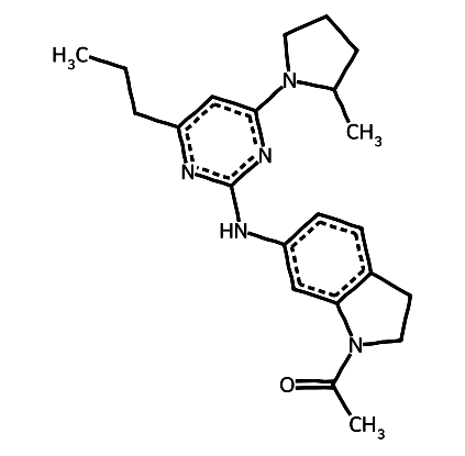 CCCc1cc(N2CCCC2C)nc(Nc2ccc3c(c2)N(C(C)=O)CC3)n1